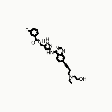 CCN(CCO)CCC#Cc1ccc2c(Nc3cc(CNC(=O)c4cccc(F)c4)[nH]n3)ncnc2c1